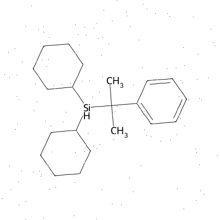 CC(C)(c1ccccc1)[SiH](C1CCCCC1)C1CCCCC1